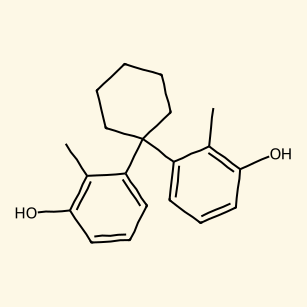 Cc1c(O)cccc1C1(c2cccc(O)c2C)CCCCC1